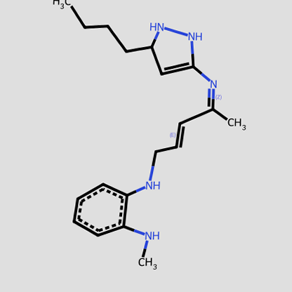 CCCCC1C=C(/N=C(C)\C=C\CNc2ccccc2NC)NN1